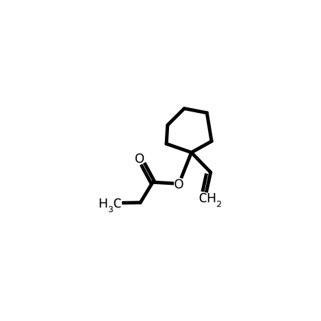 C=CC1(OC(=O)CC)CCCCC1